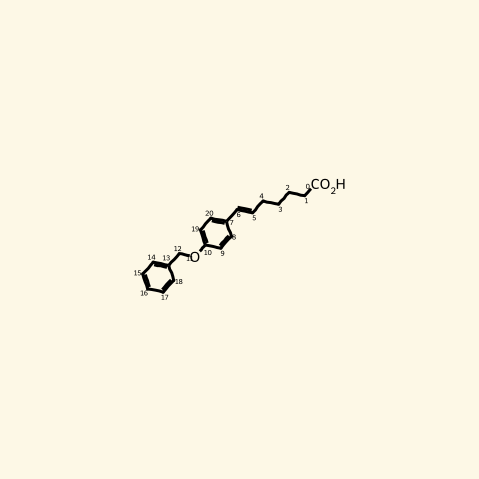 O=C(O)CCCC/C=C/c1ccc(OCc2ccccc2)cc1